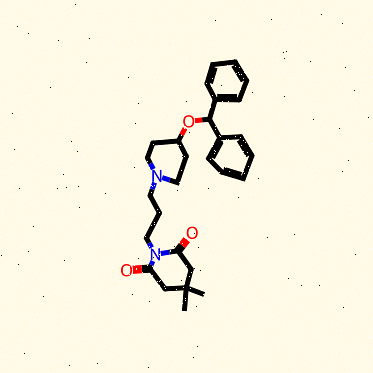 CC1(C)CC(=O)N(CCCN2CCC(OC(c3ccccc3)c3ccccc3)CC2)C(=O)C1